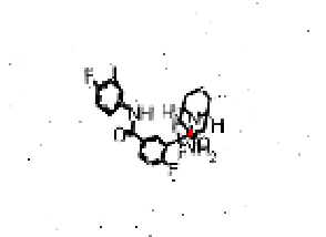 Cc1cc(NC(=O)c2ccc(F)c(C(F)(F)C(=O)N3[C@@H]4CC[C@H](C)[C@H]3C[C@@H](N)C4)c2)ccc1F